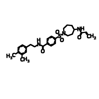 C=CC(=O)NC1CCCN(S(=O)(=O)c2ccc(C(=O)NCCc3ccc(C)c(C)c3)cc2)CC1